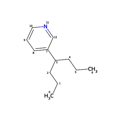 CCCC(CCC)c1cccnc1